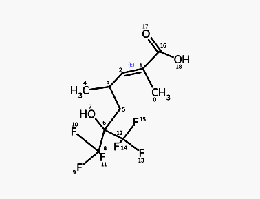 C/C(=C\C(C)CC(O)(C(F)(F)F)C(F)(F)F)C(=O)O